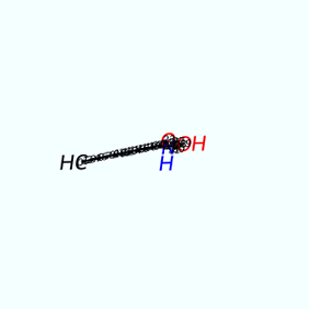 C#CC#CC#CC#CC#CC#CC#CC#CC#CC#CC#CC(=O)Nc1ccc(O)cc1